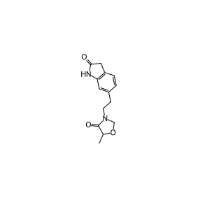 CC1OCN(CCc2ccc3c(c2)NC(=O)C3)C1=O